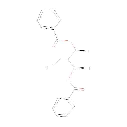 CCC([C@H](C)OC(=O)c1ccccc1)[C@@H](C)OC(=O)c1ccccc1